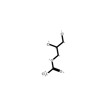 O=C(OCC(Cl)CCl)C(Cl)(Cl)Cl